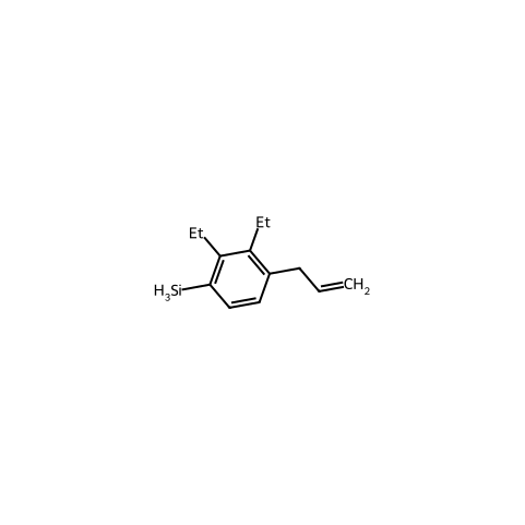 C=CCc1ccc([SiH3])c(CC)c1CC